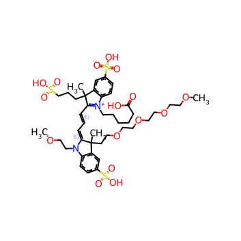 COCCOCCOCCOCCC1(C)/C(=C\C=C\C2=[N+](CCCCCC(=O)O)c3ccc(S(=O)(=O)O)cc3C2(C)CCCS(=O)(=O)O)N(CCOC)c2ccc(S(=O)(=O)O)cc21